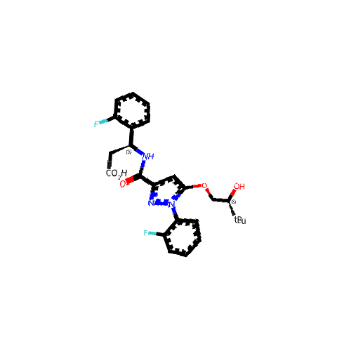 CC(C)(C)[C@H](O)COc1cc(C(=O)N[C@@H](CC(=O)O)c2ccccc2F)nn1-c1ccccc1F